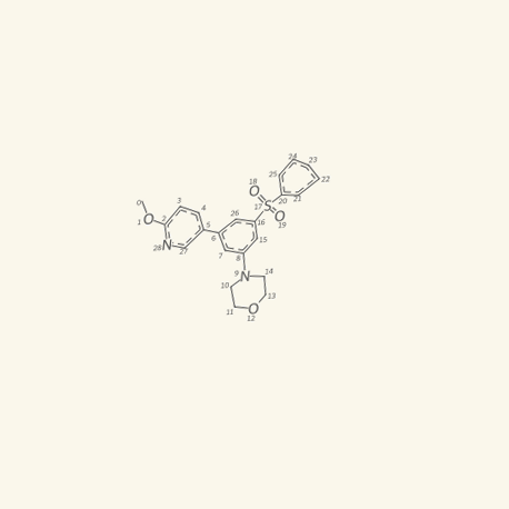 COc1ccc(-c2cc(N3CCOCC3)cc(S(=O)(=O)c3ccccc3)c2)cn1